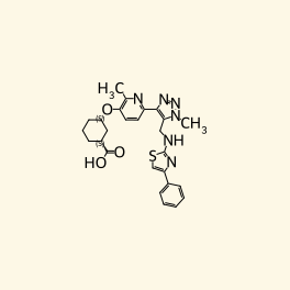 Cc1nc(-c2nnn(C)c2CNc2nc(-c3ccccc3)cs2)ccc1O[C@H]1CCC[C@H](C(=O)O)C1